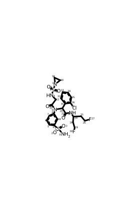 NS(=O)(=O)c1cccc(N(C(=O)CNS(=O)(=O)N2CC2)C(C(=O)NC(CCF)CCF)c2ccccc2Cl)c1